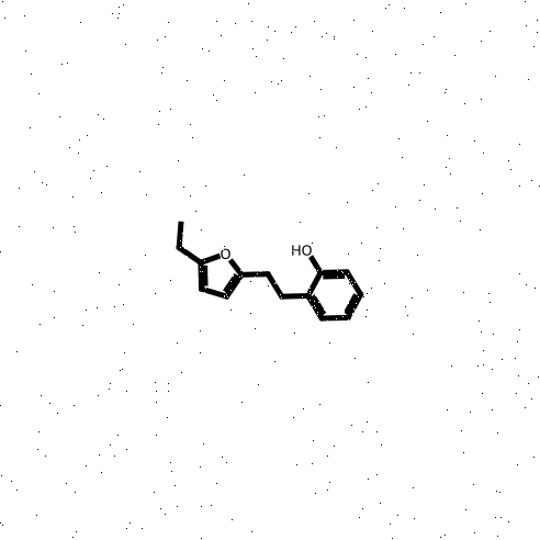 CCc1ccc(CCc2ccccc2O)o1